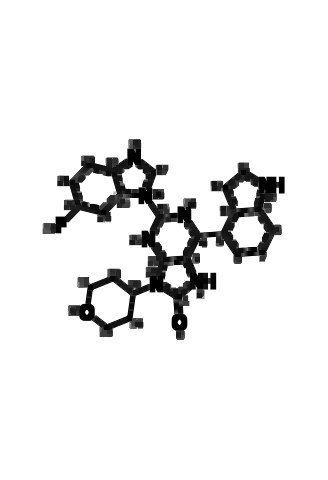 O=c1[nH]c2c(-c3cccc4[nH]ccc34)nc(-n3cnc4ccc(F)cc43)nc2n1C1CCOCC1